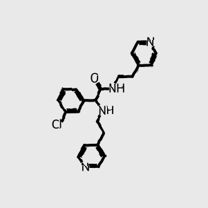 O=C(NCCc1ccncc1)C(NCCc1ccncc1)c1cccc(Cl)c1